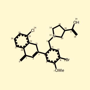 C=C1C=C(c2cc(OC)c(Br)cc2CN2CCC(C(=C)O)C2)Cc2c(Cl)cccc21